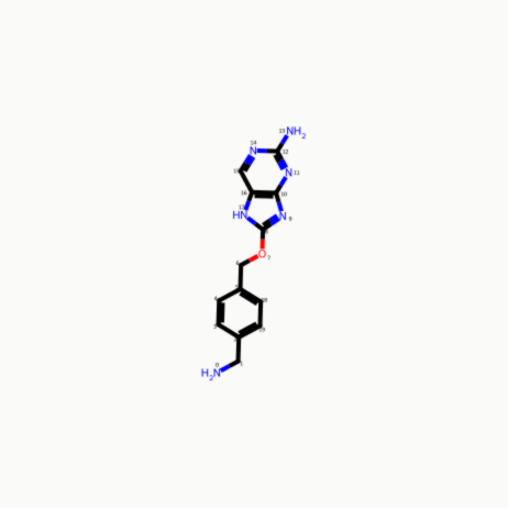 NCc1ccc(COc2nc3nc(N)ncc3[nH]2)cc1